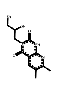 Cc1cc2c(=O)n(CC(S)CS)c(=O)[nH]c2nc1C